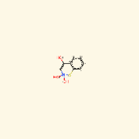 OC1=C[N+](O)(O)Sc2ccccc21